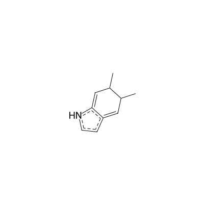 CC1C=c2cc[nH]c2=CC1C